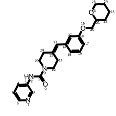 O=C(Nc1cccnc1)N1CCC(=Cc2cccc(OCC3CCCCO3)c2)CC1